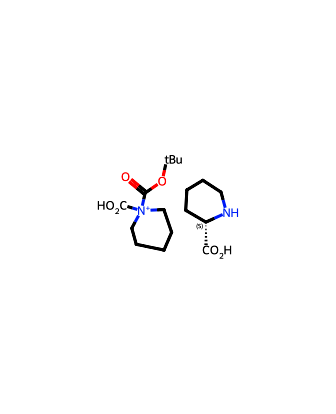 CC(C)(C)OC(=O)[N+]1(C(=O)O)CCCCC1.O=C(O)[C@@H]1CCCCN1